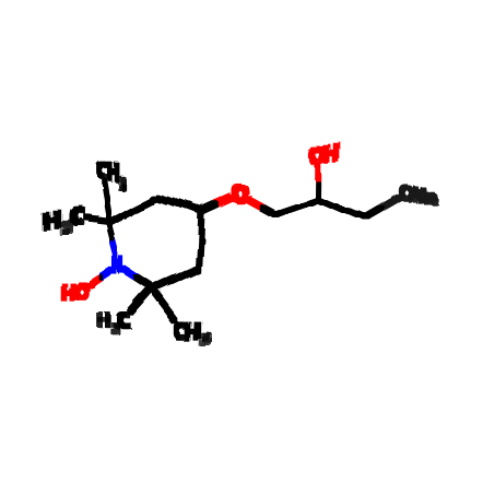 COCC(O)COC1CC(C)(C)N(O)C(C)(C)C1